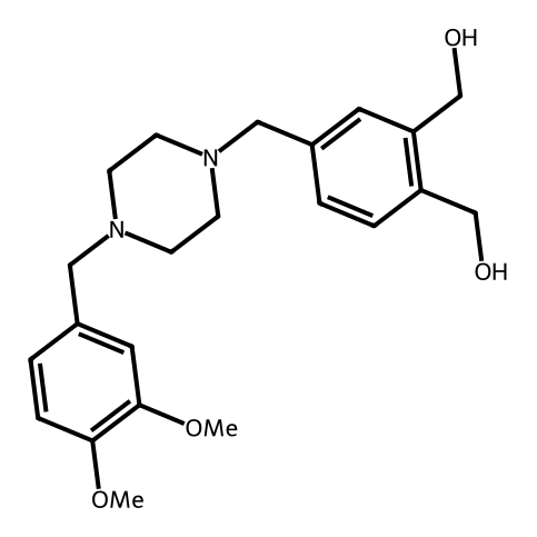 COc1ccc(CN2CCN(Cc3ccc(CO)c(CO)c3)CC2)cc1OC